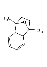 CC12CCC(C)(O1)C1C=CC=CC12